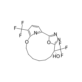 O[C@]1(C(F)(F)F)CCCCCCOc2nc(ccc2C(F)(F)F)-c2nnc1o2